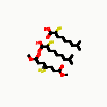 CC(C)CCCCCC(S)C(=O)O.CC(C)CCCCCC(S)C(=O)O.COC(=O)C[CH2][Sn][CH2]CC(=O)OC.S